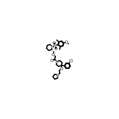 COc1cc(C)c(S(=O)(=O)N2CCCC[C@H]2COCC(=O)N2CCC(OCCN3CCCC3)(c3cccc(Cl)c3)CC2)c(C)c1